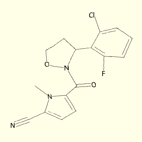 Cn1c(C#N)ccc1C(=O)N1OCCC1c1c(F)cccc1Cl